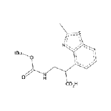 Cc1nc2c(C(CNC(=O)OC(C)(C)C)C(=O)O)cccc2s1